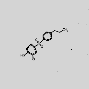 CCCc1ccc(S(=O)(=O)c2ccc(O)c(O)c2)cc1